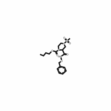 CCCCOC(=O)N1CCN(S(C)(=O)=O)CC1C(=O)NOCc1ccccc1